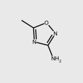 Cc1nc(N)no1